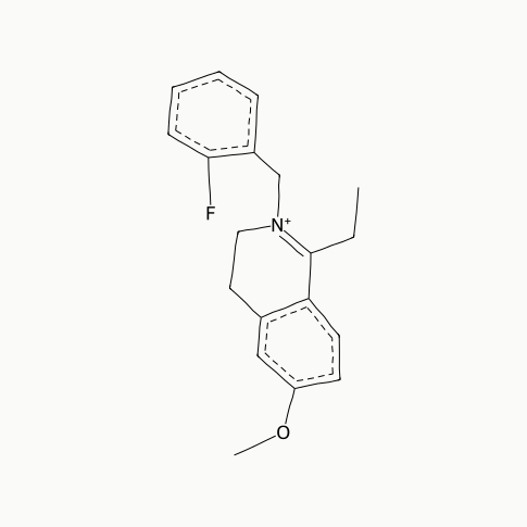 CCC1=[N+](Cc2ccccc2F)CCc2cc(OC)ccc21